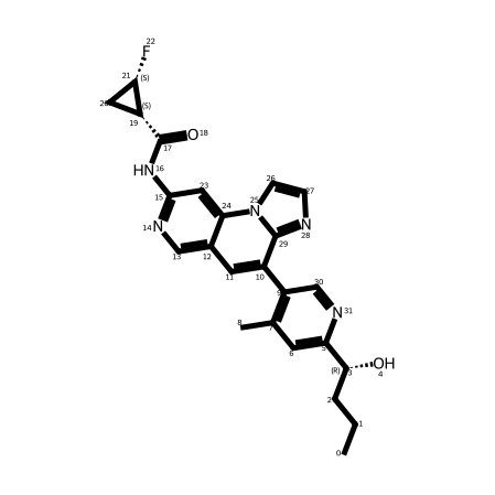 CCC[C@@H](O)c1cc(C)c(-c2cc3cnc(NC(=O)[C@@H]4C[C@@H]4F)cc3n3ccnc23)cn1